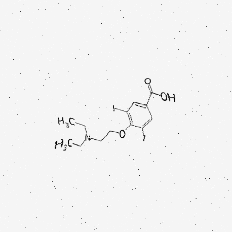 CCN(CC)CCOc1c(I)cc(C(=O)O)cc1I